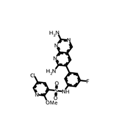 COc1ncc(Cl)cc1S(=O)(=O)Nc1cc(F)cc(-c2cc3cnc(N)nc3nc2N)c1